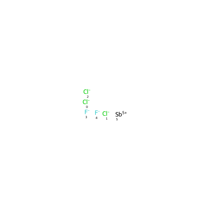 [Cl-].[Cl-].[Cl-].[F-].[F-].[Sb+5]